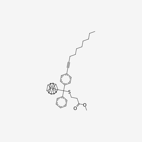 CCCCCCCCC#Cc1ccc(C(SCCC(=O)OC)(c2ccccc2)[C]23[CH]4[CH]5[CH]6[CH]2[Fe]56432789[CH]3[CH]2[CH]7[CH]8[CH]39)cc1